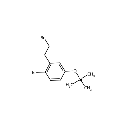 C[Si](C)(C)Oc1ccc(Br)c(CCBr)c1